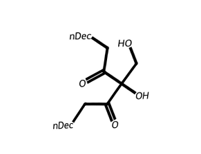 CCCCCCCCCCCC(=O)C(O)(CO)C(=O)CCCCCCCCCCC